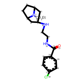 CCOC(=O)N1C2CCC1CC(NCCNC(=O)c1ccc(Cl)cc1)C2